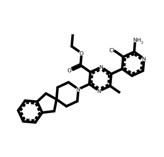 CCOC(=O)c1nc(-c2ccnc(N)c2Cl)c(C)nc1N1CCC2(CC1)Cc1ccccc1C2